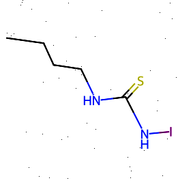 CCCCNC(=S)NI